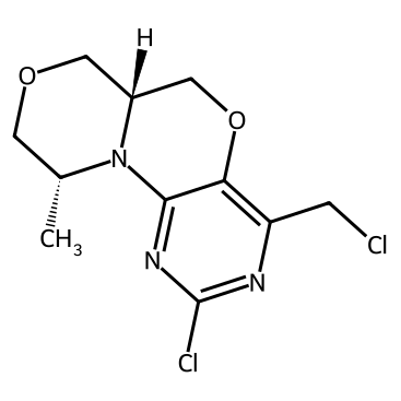 C[C@@H]1COC[C@@H]2COc3c(CCl)nc(Cl)nc3N21